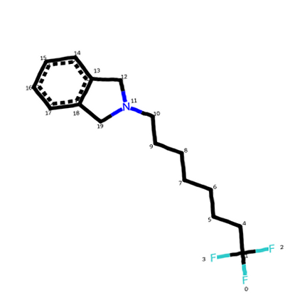 FC(F)(F)CCCCCCCN1Cc2ccccc2C1